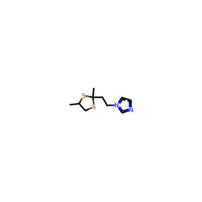 CC1CSC(C)(CCn2ccnc2)S1